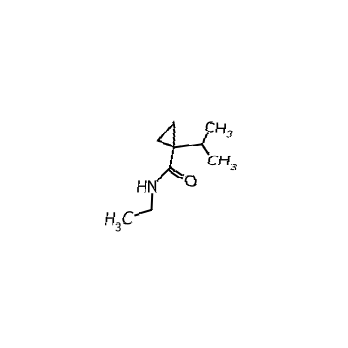 CCNC(=O)C1(C(C)C)CC1